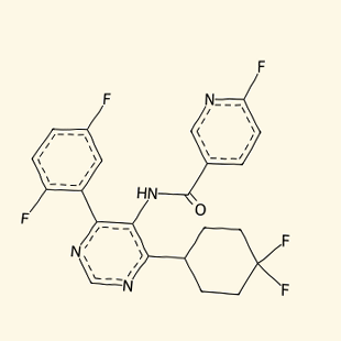 O=C(Nc1c(-c2cc(F)ccc2F)ncnc1C1CCC(F)(F)CC1)c1ccc(F)nc1